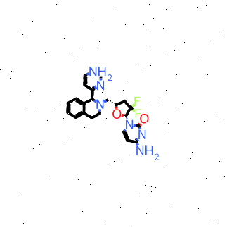 C/N=C(\C=C/N)C1c2ccccc2CCN1C[C@@H]1CC(F)(F)[C@H](n2ccc(N)nc2=O)O1